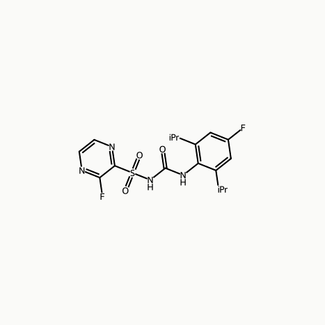 CC(C)c1cc(F)cc(C(C)C)c1NC(=O)NS(=O)(=O)c1nccnc1F